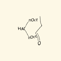 CCC=O.CCCCCCC[CH2][AlH][CH2]CCCCCCC